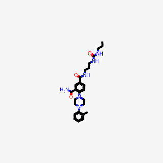 CCCNC(=O)NCCCNC(=O)c1ccc(N2CCN(c3ccccc3C)CC2)c(C(N)=O)c1